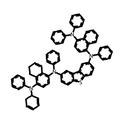 C1=CCC(N(c2ccccc2)c2ccc(N(c3ccccc3)c3ccc4sc5ccc(N(c6ccccc6)c6ccc(N(c7ccccc7)c7ccccc7)c7ccccc67)cc5c4c3)c3c2CCC=C3)C=C1